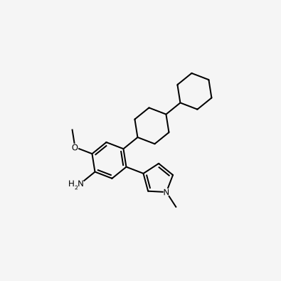 COc1cc(C2CCC(C3CCCCC3)CC2)c(-c2ccn(C)c2)cc1N